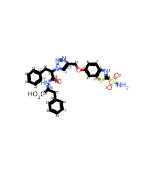 NS(=O)(=O)c1nc2ccc(OCc3cn(C(Cc4ccccc4)C(=O)NC(Cc4ccccc4)C(=O)O)nn3)cc2s1